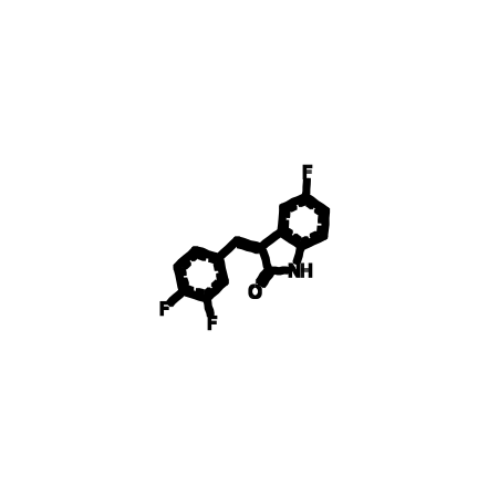 O=C1Nc2ccc(F)cc2C1=Cc1ccc(F)c(F)c1